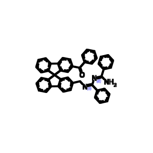 N/C(=N\C(=N/Cc1ccc2c(c1)C1(c3ccccc3-2)c2ccccc2-c2ccc(C(=O)c3ccccc3)cc21)c1ccccc1)c1ccccc1